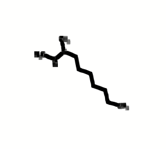 CCCCCCCN(C)NC